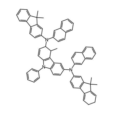 CC1c2c(n(-c3ccccc3)c3ccc(N(c4ccc5c(c4)C(C)(C)C4=CCCC=C45)c4ccc5ccccc5c4)cc23)C=CC1N(c1ccc2c(c1)C(C)(C)c1ccccc1-2)c1ccc2ccccc2c1